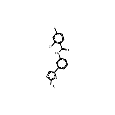 Cc1nc(-c2cccc(NC(=O)c3ccc(Cl)cc3Cl)c2)cs1